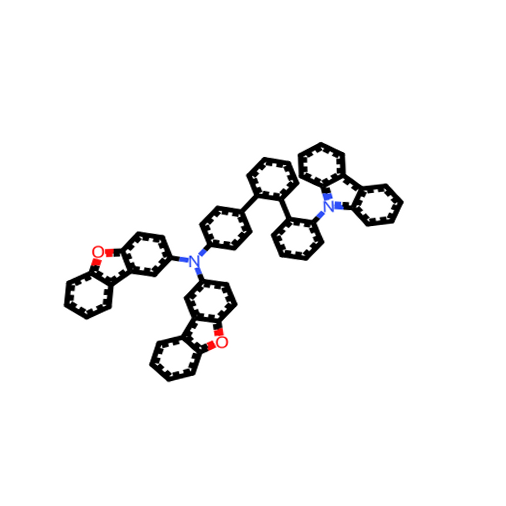 c1ccc(-c2ccccc2-n2c3ccccc3c3ccccc32)c(-c2ccc(N(c3ccc4oc5ccccc5c4c3)c3ccc4oc5ccccc5c4c3)cc2)c1